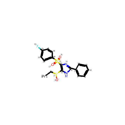 CC(C)C[S+]([O-])c1[nH]c(-c2ccccc2)nc1S(=O)(=O)c1ccc(F)cc1